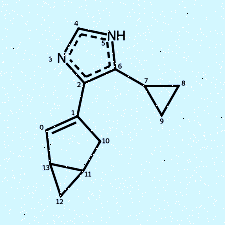 C1=C(c2nc[nH]c2C2CC2)CC2CC12